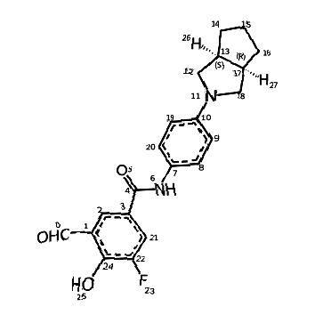 O=Cc1cc(C(=O)Nc2ccc(N3C[C@H]4CCC[C@H]4C3)cc2)cc(F)c1O